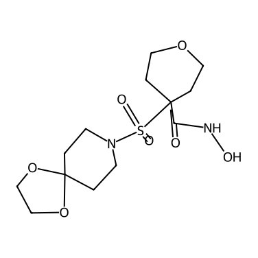 O=C(NO)C1(S(=O)(=O)N2CCC3(CC2)OCCO3)CCOCC1